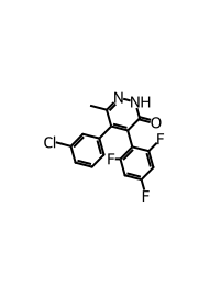 Cc1n[nH]c(=O)c(-c2c(F)cc(F)cc2F)c1-c1cccc(Cl)c1